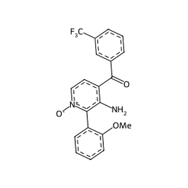 COc1ccccc1-c1c(N)c(C(=O)c2cccc(C(F)(F)F)c2)cc[n+]1[O-]